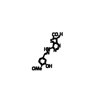 COc1ccc(C=NNc2ncnc3c(C)c(C(=O)O)sc23)cc1O